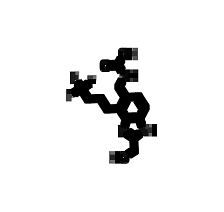 O=C(O)NCc1ccc2[nH]c(CO)nc2c1CCCC(F)(F)F